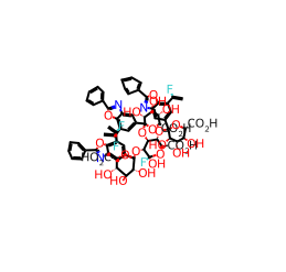 C=C(F)c1cc(C2(O[C@H]3[C@H](OC4(c5cc(C(=C)F)c6oc(-c7ccccc7)nc6c5)O[C@H](C(=O)O)[C@@H](O)[C@H](O)[C@H]4O)[C@@H](OC4(c5cc(C(=C)F)c6oc(-c7ccccc7)nc6c5)O[C@H](C(=O)O)[C@@H](O)[C@H](O)[C@H]4O)C(O)(F)O[C@@H]3C(=O)O)O[C@H](C(=O)O)[C@@H](O)[C@H](O)[C@H]2O)cc2nc(-c3ccccc3)oc12